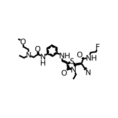 CCN(CCOC)CC(=O)Nc1cccc(NC=c2sc(=C(C#N)C(=O)NCCF)n(CC)c2=O)c1